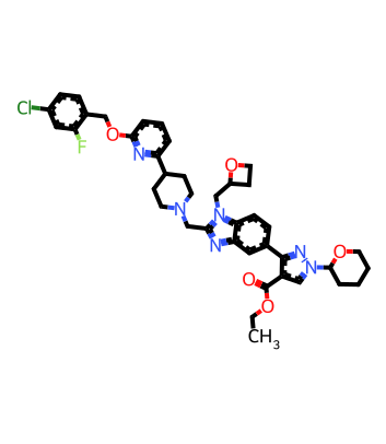 CCOC(=O)c1cn(C2CCCCO2)nc1-c1ccc2c(c1)nc(CN1CCC(c3cccc(OCc4ccc(Cl)cc4F)n3)CC1)n2CC1CCO1